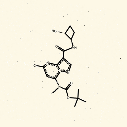 CN(C(=O)OC(C)(C)C)c1cc(Cl)nc2c(C(=O)N[C@@H]3CC[C@H]3O)cnn12